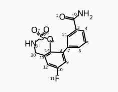 NC(=O)c1cccc(-c2cc(F)cc3c2OS(=O)(=O)NC3)c1